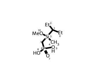 CCC(CC)[Si](C)(CP(=O)(O)O)OC